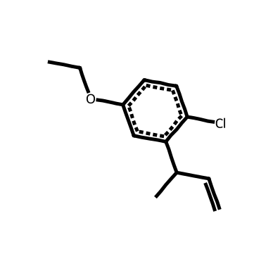 C=C[C](C)c1cc(OCC)ccc1Cl